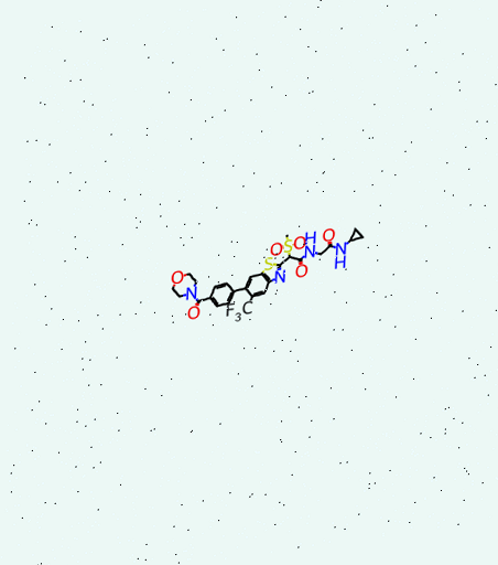 CS(=O)(=O)C(C(=O)NCC(=O)NC1CC1)c1nc2cc(C(F)(F)F)c(-c3ccc(C(=O)N4CCOCC4)cc3)cc2s1